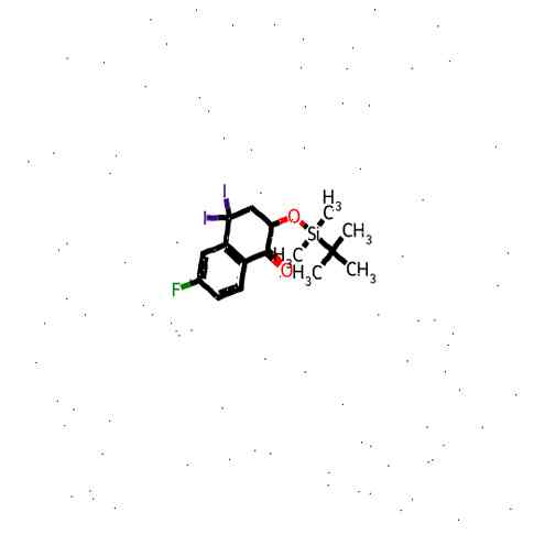 CC(C)(C)[Si](C)(C)OC1CC(I)(I)c2cc(F)ccc2C1=O